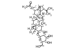 C=C(C)[C@@H]1CC[C@]2(COC(C)=O)CC[C@]3(C)[C@H](CCC4[C@@]5(C)CC[C@@H](O[C@@H]6O[C@H](CO)[C@@H](O)[C@H](O)[C@H]6O)C(C)(C)[C@@H]5CC[C@]43C)[C@@H]12